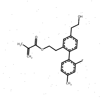 C=C(C)C(=O)OCCc1cc(CCO)ccc1-c1ccc(C)cc1F